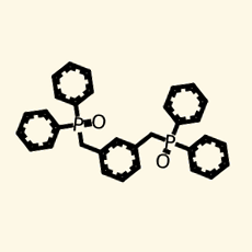 O=P(Cc1cccc(CP(=O)(c2ccccc2)c2ccccc2)c1)(c1ccccc1)c1ccccc1